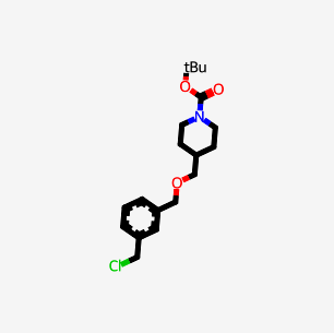 CC(C)(C)OC(=O)N1CCC(COCc2cccc(CCl)c2)CC1